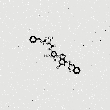 O=C(N[C@H](CO)C(=O)N[C@H]1C[C@@H](n2cnc3c(N[C@H](CO)Cc4ccccc4)nc(Cl)nc32)[C@H](O)[C@@H]1O)OCc1ccccc1